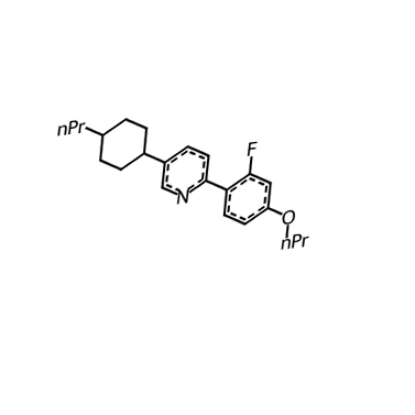 CCCOc1ccc(-c2ccc(C3CCC(CCC)CC3)cn2)c(F)c1